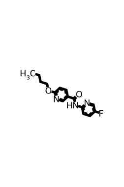 CCCCOc1ccc(C(=O)Nc2ccc(F)cn2)cn1